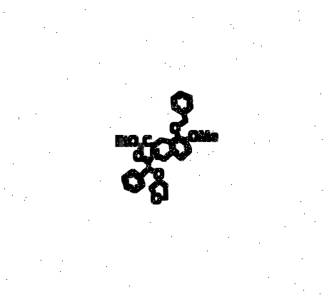 CCOC(=O)C1Cc2c(ccc(OC)c2OCc2ccccc2)CN1C(=O)C(OC1CCOC1)c1ccccc1